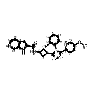 CCOc1ccc(-c2nnc(C3CC(NC(=O)c4cc5ccncc5[nH]4)C3)n2-c2ccccc2F)nc1